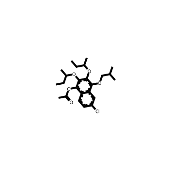 CCC(C)Oc1c(OC(C)CC)c(OC(C)=O)c2ccc(Cl)cc2c1OCC(C)C